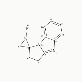 FC1CC12CCc1nc3ccccc3n12